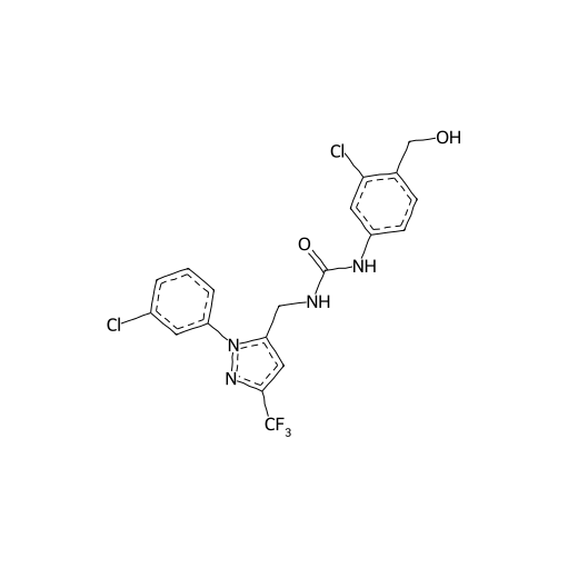 O=C(NCc1cc(C(F)(F)F)nn1-c1cccc(Cl)c1)Nc1ccc(CO)c(Cl)c1